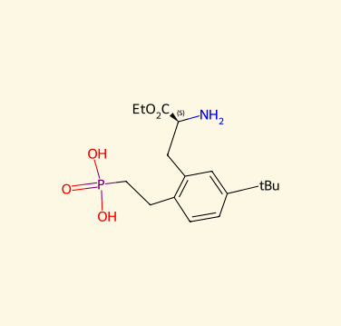 CCOC(=O)[C@@H](N)Cc1cc(C(C)(C)C)ccc1CCP(=O)(O)O